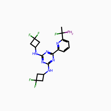 CC(F)(P)c1cccc(-c2nc(NC3CC(F)(F)C3)nc(NC3CC(F)(F)C3)n2)n1